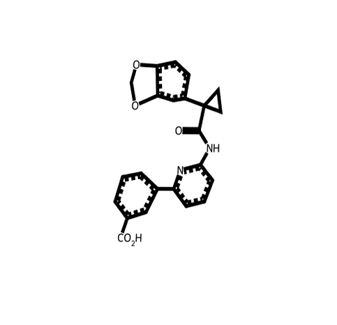 O=C(O)c1cccc(-c2cccc(NC(=O)C3(c4ccc5c(c4)OCO5)CC3)n2)c1